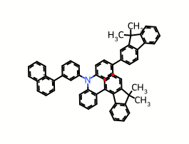 CC1(C)c2ccccc2-c2ccc(-c3ccc(N(c4cccc(-c5cccc6ccccc56)c4)c4ccccc4-c4cccc5c4-c4ccccc4C5(C)C)cc3)cc21